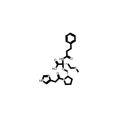 CSCC[C@](NC(=O)CCc1ccccc1)(OC[C@@H]1CCCN1C(=O)Cc1c[nH]cn1)C(=O)O